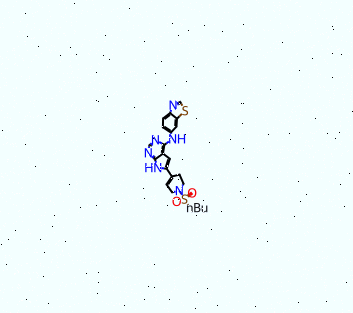 CCCCS(=O)(=O)N1CC=C(c2cc3c(Nc4ccc5ncsc5c4)ncnc3[nH]2)CC1